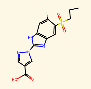 CCCS(=O)(=O)c1cc2nc(-n3cc(C(=O)O)cn3)[nH]c2cc1F